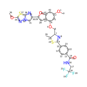 COc1cc(OCC2N=C(c3ccc(C(=O)NCC(F)(F)F)cc3)SC2C)c2cc(-c3cn4nc(OC)sc4n3)oc2c1